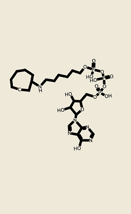 O=P(O)(OCCCCCCNC1CCCCCCC1)OP(=O)(O)OP(=O)(O)OCC1OC(n2cnc3c(O)ncnc32)C(O)C1O